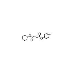 Cc1ccc(OC(=O)CCC(=O)OC2CCCCC2)cc1